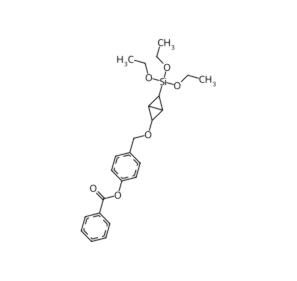 CCO[Si](OCC)(OCC)C1C2C(OCc3ccc(OC(=O)c4ccccc4)cc3)C21